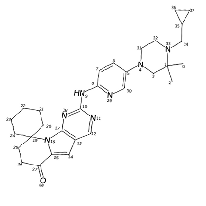 CC1(C)CN(c2ccc(Nc3ncc4cc5n(c4n3)C3(CCCCC3)CCC5=O)nc2)CCN1CC1CC1